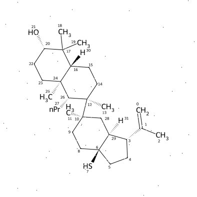 C=C(C)[C@@H]1CC[C@]2(S)CC[C@@](C)([C@]3(C)CC[C@H]4C(C)(C)[C@@H](O)CC[C@]4(C)[C@H]3CCC)C[C@@H]12